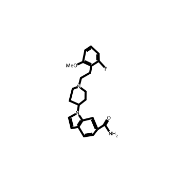 COc1cccc(F)c1CCN1CCC(n2ccc3ccc(C(N)=O)cc32)CC1